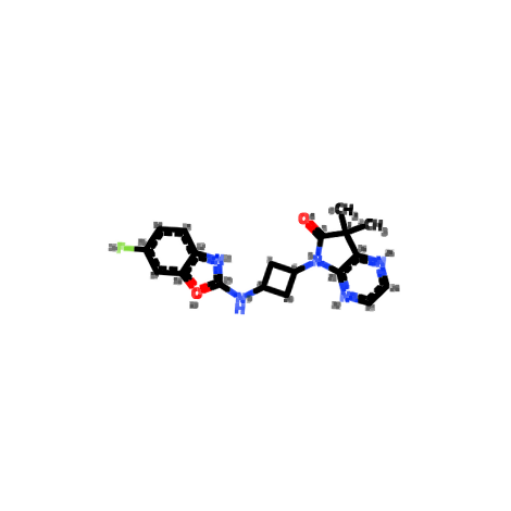 CC1(C)C(=O)N(C2CC(Nc3nc4ccc(F)cc4o3)C2)c2nccnc21